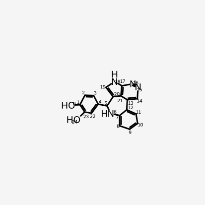 Oc1ccc(C2Nc3ccccc3-c3cnnc4[nH]cc2c34)cc1O